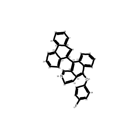 Fc1ccc(Oc2c3ccccc3c(-c3cc4ccccc4c4ccccc34)c3cnccc23)cc1